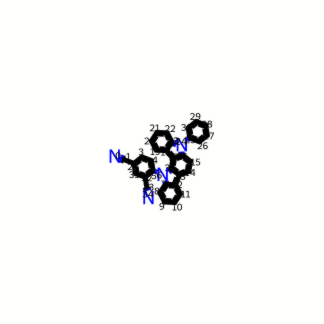 N#Cc1ccc(-n2c3ccccc3c3ccc4c(c5ccccc5n4-c4ccccc4)c32)c(C#N)c1